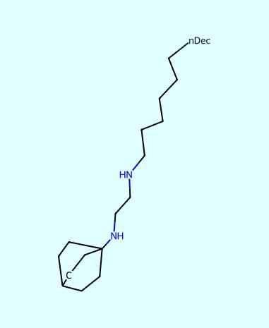 CCCCCCCCCCCCCCCCNCCNC12CCC(CC1)CC2